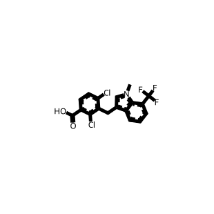 Cn1cc(Cc2c(Cl)ccc(C(=O)O)c2Cl)c2cccc(C(F)(F)F)c21